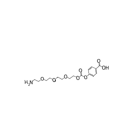 NCCOCCOCCOCCOC(=O)Oc1ccc(C(=O)O)cc1